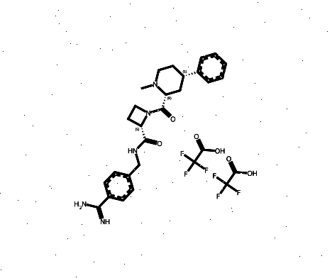 CN1CC[C@H](c2ccccc2)C[C@@H]1C(=O)N1CC[C@H]1C(=O)NCc1ccc(C(=N)N)cc1.O=C(O)C(F)(F)F.O=C(O)C(F)(F)F